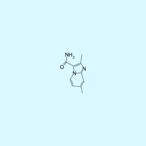 Cc1ccn2c(C(N)=O)c(C)nc2c1